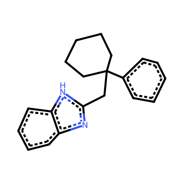 c1ccc(C2(Cc3nc4ccccc4[nH]3)CCCCC2)cc1